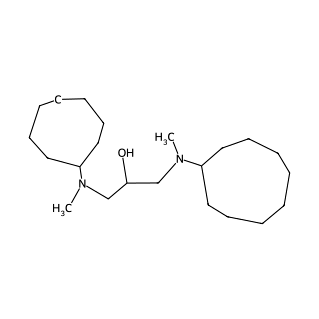 CN(CC(O)CN(C)C1CCCCCCC1)C1CCCCCCCC1